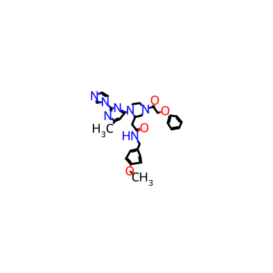 COc1ccc(CNC(=O)CC2CN(C(=O)COc3ccccc3)CCN2c2cc(C)nc(-n3ccnc3)n2)cc1